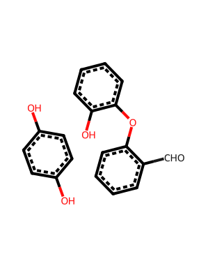 O=Cc1ccccc1Oc1ccccc1O.Oc1ccc(O)cc1